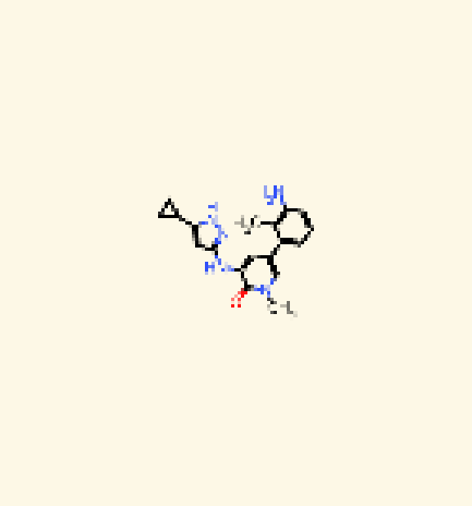 Cc1c(N)cccc1-c1cc(Nc2cc(C3CC3)[nH]n2)c(=O)n(C)c1